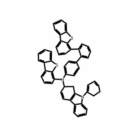 C1=CCCC(n2c3c(c4ccccc42)C=CC(N(c2ccc(-c4ccccc4-c4cccc5c4sc4ccccc45)cc2)c2cccc4c2sc2ccccc24)C3)=C1